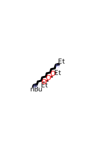 CC/C=C/CCCCCCCC/C=C/CCCC.CCOCOCOCC